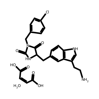 NCCc1c[nH]c2ccc(CC3NC(=O)N(Cc4ccc(Cl)cc4)C3=O)cc12.O.O=C(O)/C=C\C(=O)O